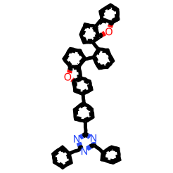 c1ccc(-c2nc(-c3ccccc3)nc(-c3ccc(-c4ccc5c(c4)oc4cccc(-c6ccccc6-c6cccc7c6oc6ccccc67)c45)cc3)n2)cc1